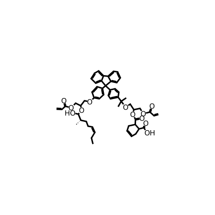 C=CC(=O)OCC(COC(C)(C)c1ccc(C2(c3ccc(OCC(COC(=O)C=C)OC(O)[C@@H](C)CC/C=C\CC)cc3)c3ccccc3-c3ccccc32)cc1)OC(=O)C1CC=CCC1C(=O)O